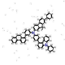 CC1(C)c2cc(-c3ccccc3)ccc2-c2ccc(N(c3ccc(-c4cccc5c4c4ccccc4n5-c4ccccc4)cc3)c3cccc(-c4cccc5c4ccc4ccccc45)c3)cc21